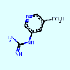 N=C(N)Nc1cncc(C(=O)O)c1